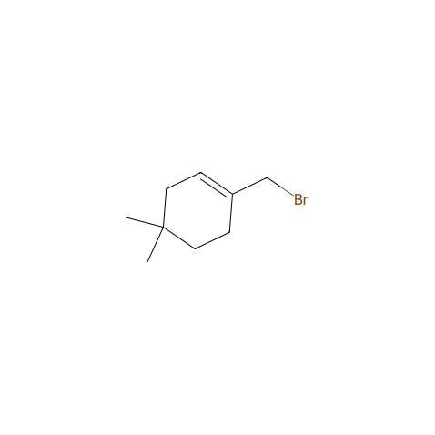 CC1(C)CC=C(CBr)CC1